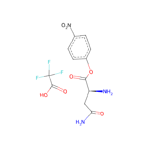 NC(=O)C[C@H](N)C(=O)Oc1ccc([N+](=O)[O-])cc1.O=C(O)C(F)(F)F